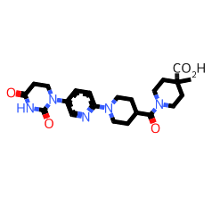 CC1(C(=O)O)CCN(C(=O)C2CCN(c3ccc(N4CCC(=O)NC4=O)cn3)CC2)CC1